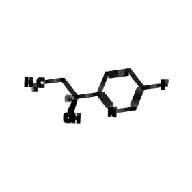 CC[C@H](O)c1ccc(F)cn1